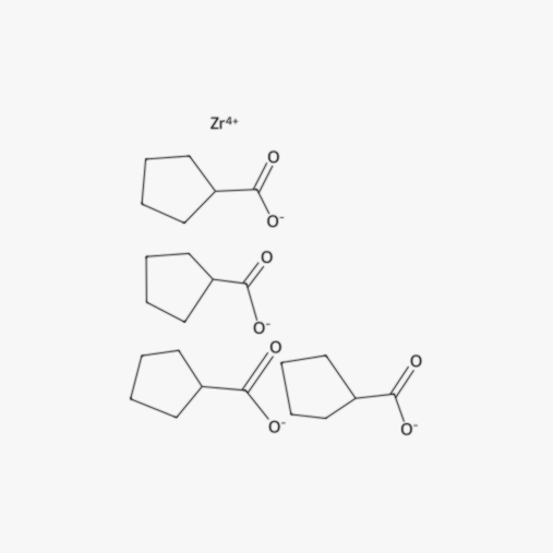 O=C([O-])C1CCCC1.O=C([O-])C1CCCC1.O=C([O-])C1CCCC1.O=C([O-])C1CCCC1.[Zr+4]